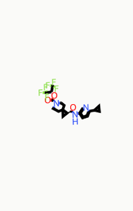 O=C(Nc1ccc(C2CC2)nc1)[C@H]1CC12CCN(C(=O)OC(C(F)(F)F)C(F)(F)F)CC2